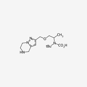 CC(COCc1cc2n(n1)CCNC2)N(C(=O)O)C(C)(C)C